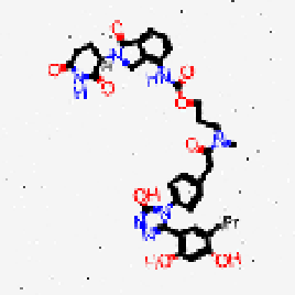 CC(C)c1cc(-c2nnc(O)n2-c2ccc(CC(=O)N(C)CCCOC(=O)Nc3cccc4c3CN([C@@H]3CCC(=O)NC3=O)C4=O)cc2)c(O)cc1O